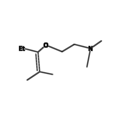 CCC(OCCN(C)C)=C(C)C